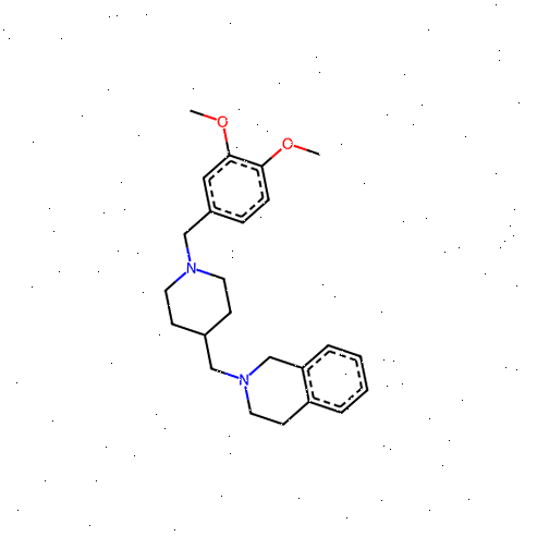 COc1ccc(CN2CCC(CN3CCc4ccccc4C3)CC2)cc1OC